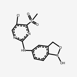 CS(=O)(=O)c1nc(Nc2ccc3c(c2)COB3O)ncc1Cl